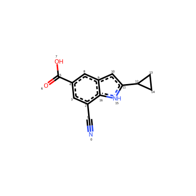 N#Cc1cc(C(=O)O)cc2cc(C3CC3)[nH]c12